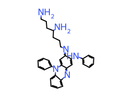 NCCCC(N)CCCN=c1cc2n(-c3ccccc3)c3ccccc3nc-2cc1Nc1ccccc1